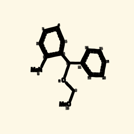 CNc1ccccc1C(OCOC)c1ccccc1